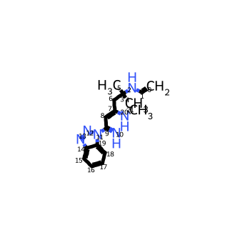 C=CNC(C)(C)C/C(=C/C(=N)n1nnc2ccccc21)NC